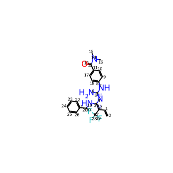 C=C/C(=C(\N=C(/N)Nc1ccc(C(=O)N(C)C)cc1)NCc1ccccc1)C(F)(F)F